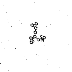 c1cc(-c2cc(-c3ccc(-c4ccc5c6ccccc6c6ccccc6c5c4)cc3)cc(-c3cccc4c3sc3ccccc34)c2)cc(-c2nc3ccccc3s2)c1